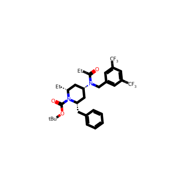 CCC(=O)N(Cc1cc(C(F)(F)F)cc(C(F)(F)F)c1)[C@H]1C[C@@H](CC)N(C(=O)OC(C)(C)C)[C@@H](Cc2ccccc2)C1